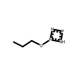 CCCOp1np[nH]1